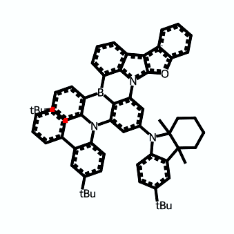 CC(C)(C)c1ccc(N2c3cc(C(C)(C)C)ccc3B3c4c2cc(N2c5ccc(C(C)(C)C)cc5C5(C)CCCCC25C)cc4-n2c4oc5ccccc5c4c4cccc3c42)c(-c2ccccc2)c1